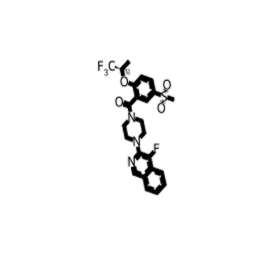 C[C@H](Oc1ccc(S(C)(=O)=O)cc1C(=O)N1CCN(c2ncc3ccccc3c2F)CC1)C(F)(F)F